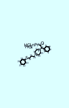 CCCC(=O)C(c1ccccc1)N1CCN(CCCSc2ccccc2)CC1.Cl.Cl